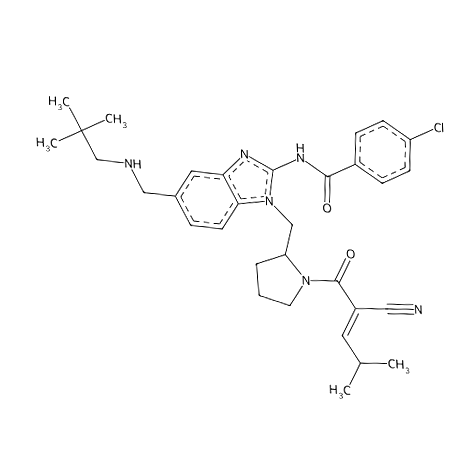 CC(C)/C=C(\C#N)C(=O)N1CCCC1Cn1c(NC(=O)c2ccc(Cl)cc2)nc2cc(CNCC(C)(C)C)ccc21